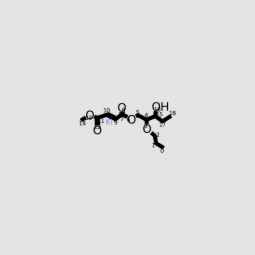 CCCOC(COC(=O)/C=C/C(=O)OC)C(O)CC